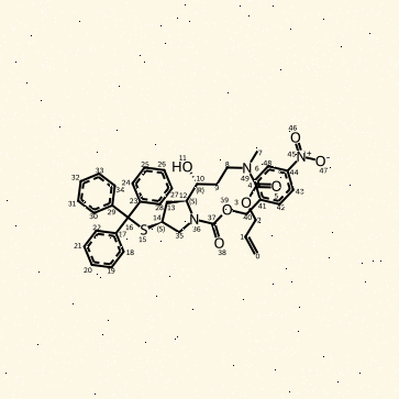 C=CCOC(=O)N(C)CC[C@@H](O)[C@@H]1C[C@H](SC(c2ccccc2)(c2ccccc2)c2ccccc2)CN1C(=O)OCc1ccc([N+](=O)[O-])cc1